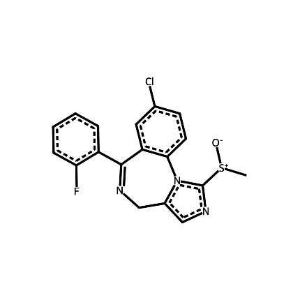 C[S+]([O-])c1ncc2n1-c1ccc(Cl)cc1C(c1ccccc1F)=NC2